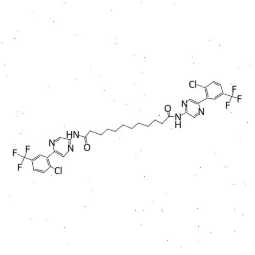 O=C(CCCCCCCCCCC(=O)Nc1cnc(-c2cc(C(F)(F)F)ccc2Cl)cn1)Nc1cnc(-c2cc(C(F)(F)F)ccc2Cl)cn1